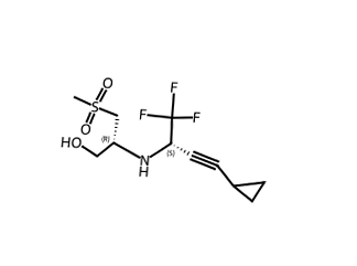 CS(=O)(=O)C[C@@H](CO)N[C@@H](C#CC1CC1)C(F)(F)F